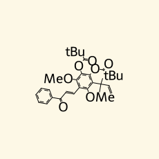 C=CC(C)(C)c1c(OC)c(C=CC(=O)c2ccccc2)c(OC)c(OC(=O)C(C)(C)C)c1OC(=O)C(C)(C)C